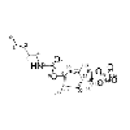 CCCCCNC(=O)Oc1cc(C)c(S(C)(C)O[Cl+3]([O-])([O-])[O-])cc1C